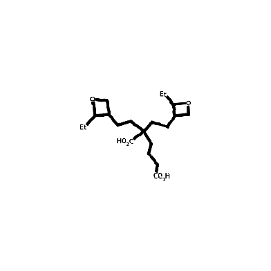 CCC1OCC1CCC(CCCC(=O)O)(CCC1COC1CC)C(=O)O